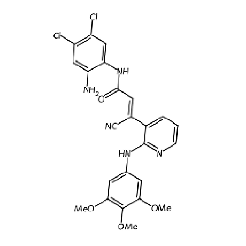 COc1cc(Nc2ncccc2/C(C#N)=C/C(=O)Nc2cc(Cl)c(Cl)cc2N)cc(OC)c1OC